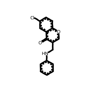 O=c1c(CNc2ccccc2)coc2ccc(Cl)cc12